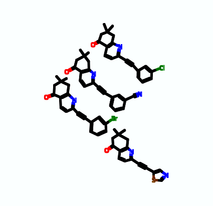 CC1(C)CC(=O)c2ccc(C#Cc3cccc(Br)c3)nc2C1.CC1(C)CC(=O)c2ccc(C#Cc3cccc(C#N)c3)nc2C1.CC1(C)CC(=O)c2ccc(C#Cc3cccc(Cl)c3)nc2C1.CC1(C)CC(=O)c2ccc(C#Cc3cncs3)nc2C1